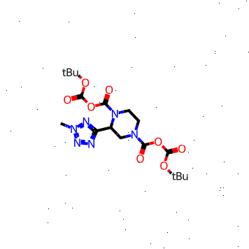 Cn1nnc(C2CN(C(=O)OC(=O)OC(C)(C)C)CCN2C(=O)OC(=O)OC(C)(C)C)n1